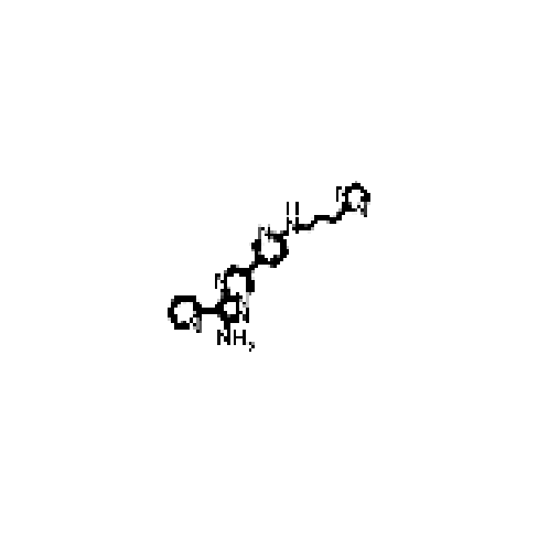 Nc1nn2cc(-c3ccc(NCCCC4=NCC=N4)nc3)cnc2c1-c1ccccn1